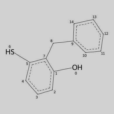 Oc1cccc(S)c1Cc1ccccc1